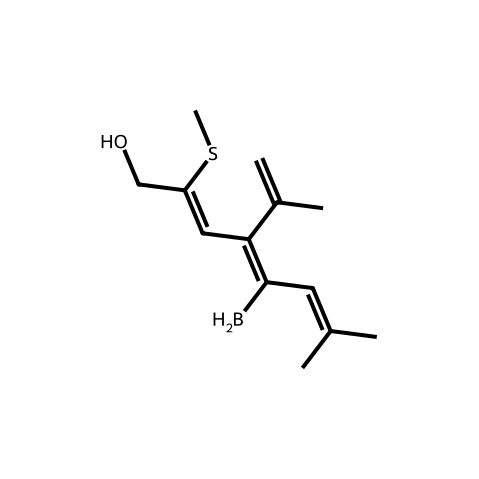 B/C(C=C(C)C)=C(\C=C(\CO)SC)C(=C)C